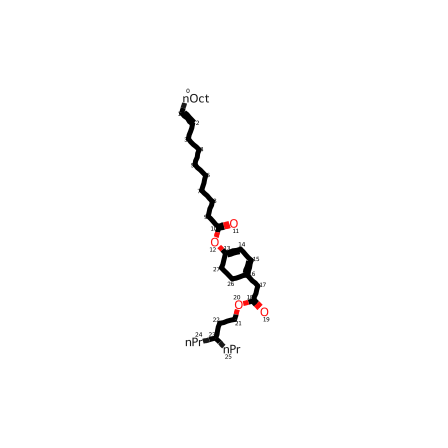 CCCCCCCCC=CCCCCCCCC(=O)OC1=CC=C(CC(=O)OCCC(CCC)CCC)CC1